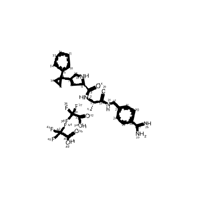 C[C@H](NC(=O)[C@H]1C=C(C2(c3ccccc3)CC2)CN1)C(=O)NCc1ccc(C(=N)N)cc1.O=C(O)C(F)(F)F.O=C(O)C(F)(F)F